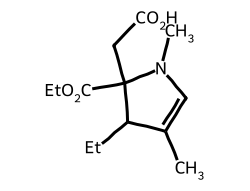 CCOC(=O)C1(CC(=O)O)C(CC)C(C)=CN1C